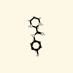 O=C(Oc1ccc(F)cc1)C1OCCCO1